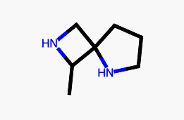 CC1NCC12CCCN2